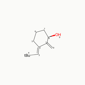 C=C1/C(=C/C(C)(C)C)CCC[C@H]1O